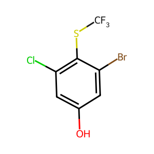 Oc1cc(Cl)c(SC(F)(F)F)c(Br)c1